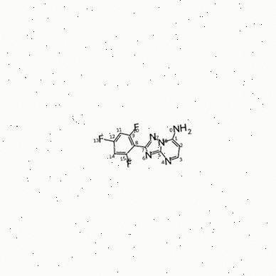 Nc1ccnc2nc(-c3c(F)cc(F)cc3F)nn12